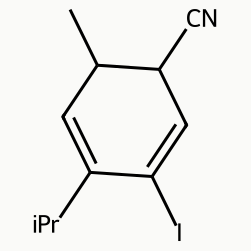 CC(C)C1=CC(C)C(C#N)C=C1I